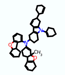 CC12C=C(N(c3cccc4c3C3CCC=CC3O4)C3CCc4c(c5c(n4C4=CCCCC4)CC(C4C=CCCC4)C=C5)C3)CCC1C1=C(CCC=C1)O2